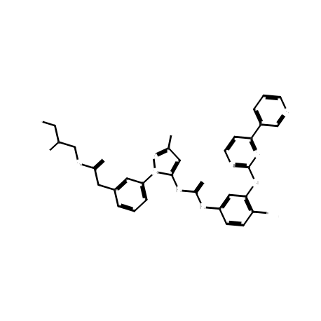 Cc1ccc(NC(=O)Nc2cc(C(C)(C)C)nn2-c2cccc(CC(=O)NCC(O)CO)c2)cc1Nc1nccc(-c2cccnc2)n1